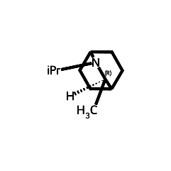 CC(C)N1C2CCC(CC2)[C@H]1C